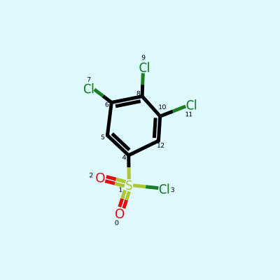 O=S(=O)(Cl)c1cc(Cl)c(Cl)c(Cl)c1